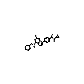 O=C(NC1CC1)c1ccc(-c2cnc3c(NCC4CCCCC4)nc(Br)cn23)cc1